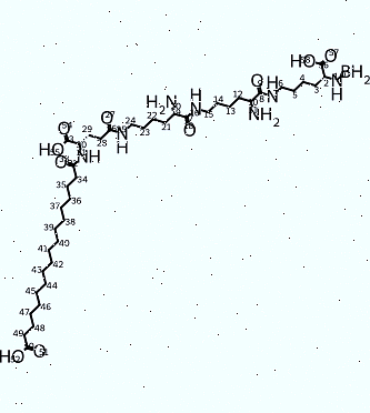 BN[C@@H](CCCCNC(=O)[C@@H](N)CCCCNC(=O)[C@@H](N)CCCCNC(=O)CC[C@H](NC(=O)CCCCCCCCCCCCCCCCC(=O)O)C(=O)O)C(=O)O